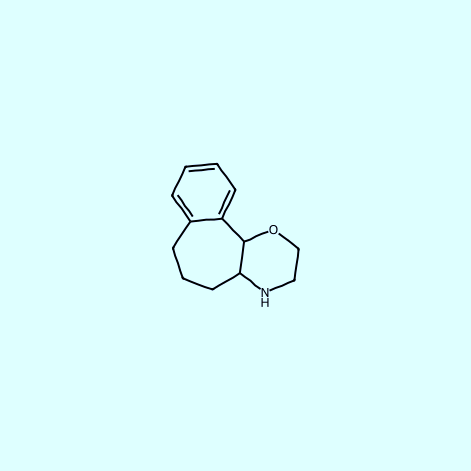 c1ccc2c(c1)CCCC1NCCOC21